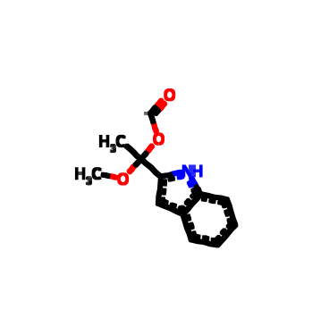 COC(C)(O[C]=O)c1cc2ccccc2[nH]1